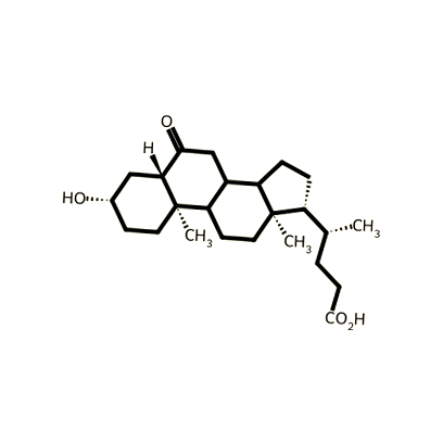 C[C@H](CCC(=O)O)[C@H]1CCC2C3CC(=O)[C@H]4C[C@@H](O)CC[C@]4(C)C3CC[C@@]21C